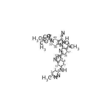 Cc1ccc(Nc2ccc3c(c2)ncn3-c2ccc(C(C)O)c(-n3nc(C#N)c4c3CCN(C(=O)OC(C)(C)C)C4)n2)nn1